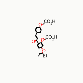 CC=C(CC)Oc1ccc(C(=O)C=Cc2ccc(OCC(=O)O)cc2)c(OCC(=O)O)c1